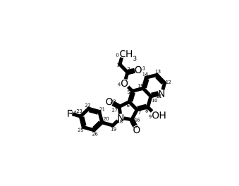 CCC(=O)Oc1c2c(c(O)c3ncccc13)C(=O)N(Cc1ccc(F)cc1)C2=O